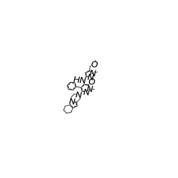 COCc1cc(Nc2c(-c3ccccc3)c(N3CCn4c(cc5c4CCCC5)C3)nn(C)c2=O)nn1C